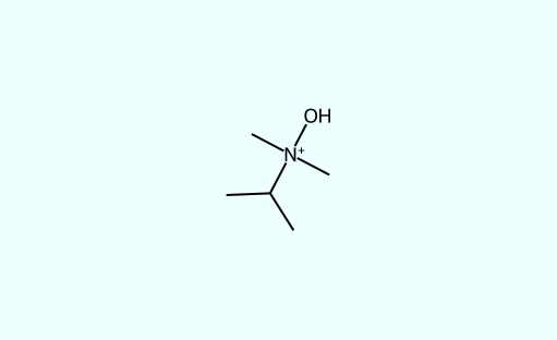 CC(C)[N+](C)(C)O